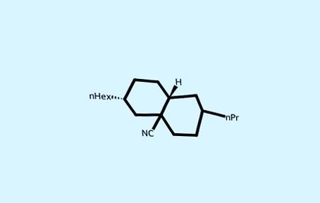 CCCCCC[C@@H]1CC[C@@H]2CC(CCC)CCC2(C#N)C1